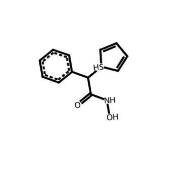 O=C(NO)C(c1ccccc1)[SH]1C=CC=C1